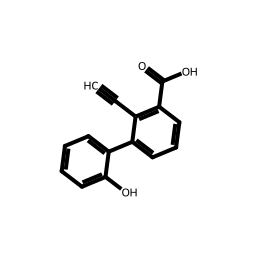 C#Cc1c(C(=O)O)cccc1-c1ccccc1O